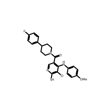 COc1ccc(Nc2c(C(=O)N3CCC(c4ccc(F)cc4)CC3)cnc(S)c2Cl)cc1